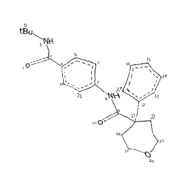 CC(C)(C)NC(=O)c1ccc(NC(=O)C2(c3ccccc3)CCOCC2)cc1